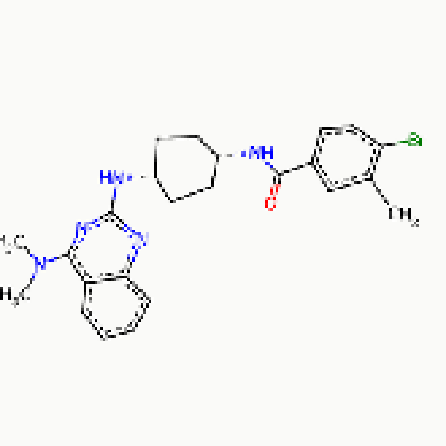 Cc1cc(C(=O)N[C@H]2CC[C@@H](Nc3nc(N(C)C)c4ccccc4n3)CC2)ccc1Br